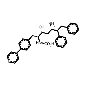 N[C@@H](C[C@@H](O)[C@H](Cc1ccc(-c2ccncc2)cc1)NC(=O)O)C(Cc1ccccc1)c1ccccc1